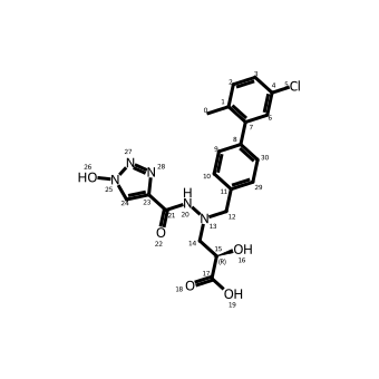 Cc1ccc(Cl)cc1-c1ccc(CN(C[C@@H](O)C(=O)O)NC(=O)c2cn(O)nn2)cc1